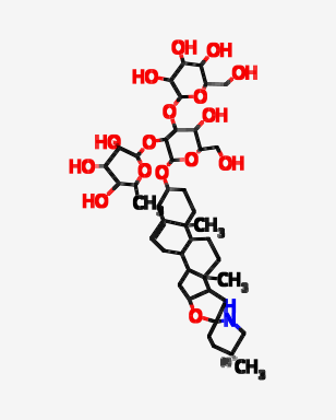 CC1OC(OC2C(OC3CCC4(C)C(=CCC5C4CCC4(C)C6CC7(CC[C@@H](C)CN7)OC6CC54)C3)OC(CO)C(O)C2OC2OC(CO)C(O)C(O)C2O)C(O)C(O)C1O